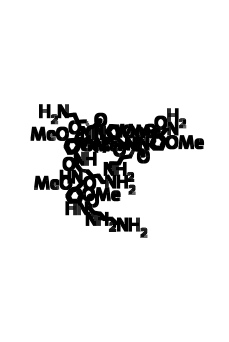 COc1ccc(NC(=O)[C@@H](CCCCN)NC(=O)c2c(OC)ccc(NC(=O)[C@@H](CCCCN)NC(=O)c3c(OC)ccc(NC(=O)[C@@H](CCCCN)NC(=O)c4c(OC)ccc(NC(=O)[C@H](N)CCCCN)c4OC)c3OC)c2OC)c(OC)c1C(N)=O